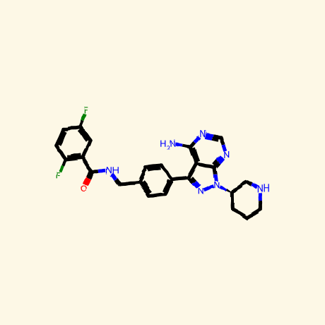 Nc1ncnc2c1c(-c1ccc(CNC(=O)c3cc(F)ccc3F)cc1)nn2[C@@H]1CCCNC1